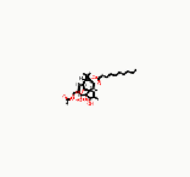 CCCCCCCCCC(=O)O[C@@]12C[C@@H](C)[C@]34C=C(C)[C@H](O)[C@@]3(O)[C@H](O)C(COC(C)=O)=C[C@H](C4O)[C@@H]1C2(C)C